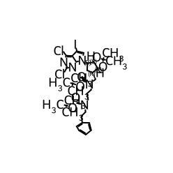 CC(C)(C)OC(=O)N(CCCN(C[C@H]1C[C@@H](n2cc(I)c3c(Cl)nc(Cl)nc32)[C@@H]2OC(C)(C)O[C@H]12)C(=O)OC(C)(C)C)CCc1ccccc1